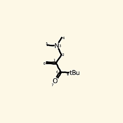 C=C(CN(C)C)C(=O)C(C)(C)C